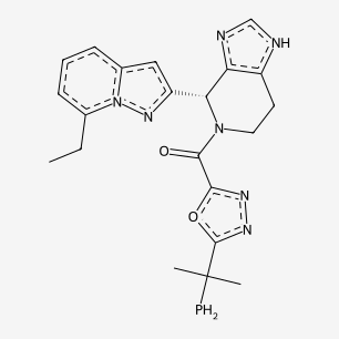 CCc1cccc2cc([C@@H]3c4nc[nH]c4CCN3C(=O)c3nnc(C(C)(C)P)o3)nn12